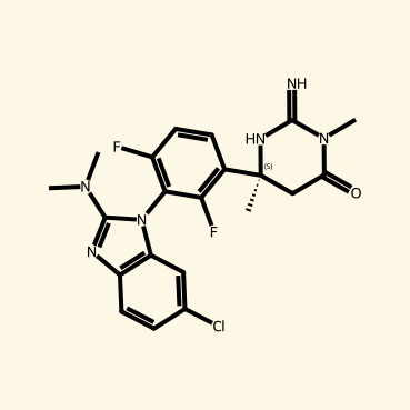 CN1C(=N)N[C@](C)(c2ccc(F)c(-n3c(N(C)C)nc4ccc(Cl)cc43)c2F)CC1=O